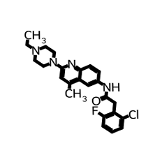 CCN1CCN(c2cc(C)c3cc(NC(=O)Cc4c(F)cccc4Cl)ccc3n2)CC1